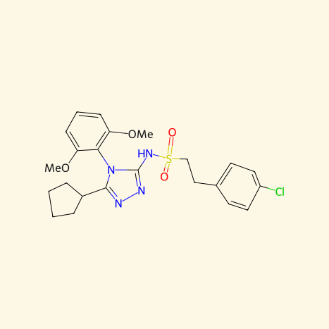 COc1cccc(OC)c1-n1c(NS(=O)(=O)CCc2ccc(Cl)cc2)nnc1C1CCCC1